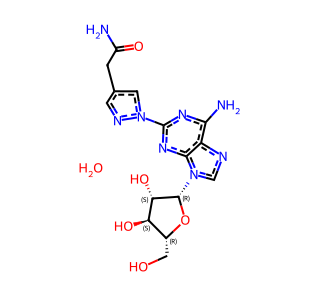 NC(=O)Cc1cnn(-c2nc(N)c3ncn([C@@H]4O[C@H](CO)[C@@H](O)[C@@H]4O)c3n2)c1.O